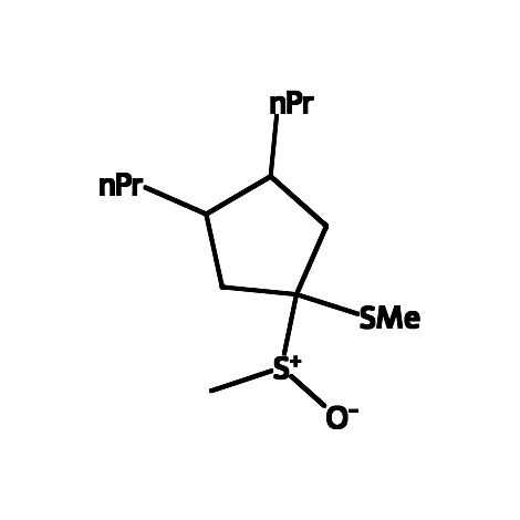 CCCC1CC(SC)([S+](C)[O-])CC1CCC